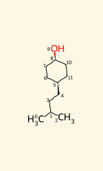 CC(C)CC[C@H]1CC[C@@H](O)CC1